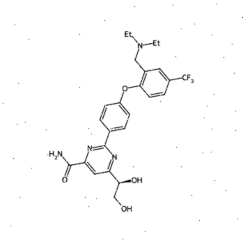 CCN(CC)Cc1cc(C(F)(F)F)ccc1Oc1ccc(-c2nc(C(N)=O)cc([C@@H](O)CO)n2)cc1